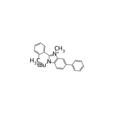 Cc1ccccc1-c1n(C(C)(C)C)c2ccc(-c3ccccc3)cc2[n+]1C